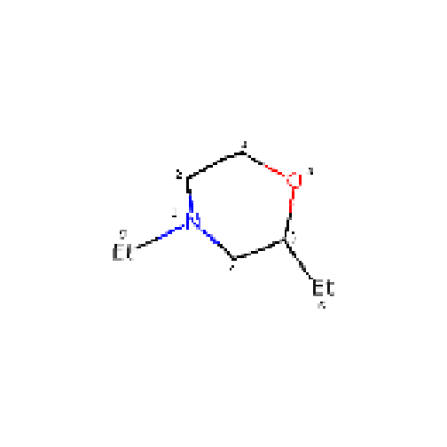 [CH2]CN1CCOC(CC)C1